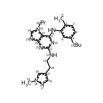 Cc1ccc(C(C)(C)C)cc1Nc1nc(NCCc2cnn(C)c2)nc2ncn(C(C)C)c12